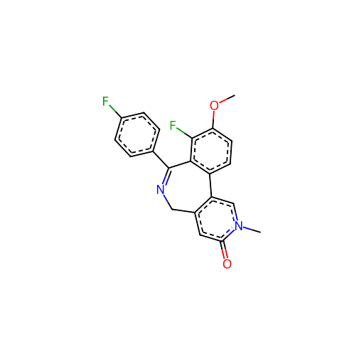 COc1ccc2c(c1F)C(c1ccc(F)cc1)=NCc1cc(=O)n(C)cc1-2